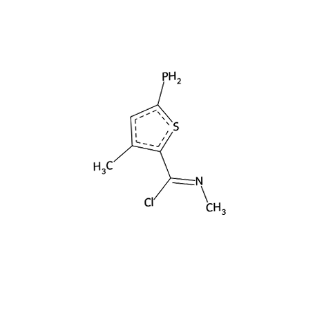 C/N=C(\Cl)c1sc(P)cc1C